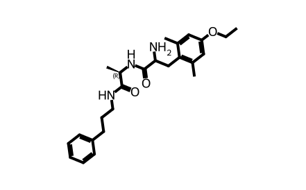 CCOc1cc(C)c(CC(N)C(=O)N[C@H](C)C(=O)NCCCc2ccccc2)c(C)c1